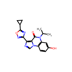 CC(C)n1c(=O)c2c(-c3noc(C4CC4)n3)ncn2c2ccc(O)cc21